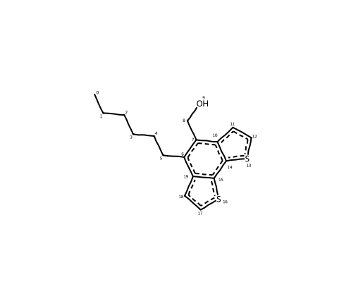 CCCCCCc1c(CO)c2ccsc2c2sccc12